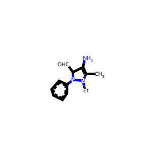 CCN1C(C)=C(N)C(C=O)N1c1ccccc1